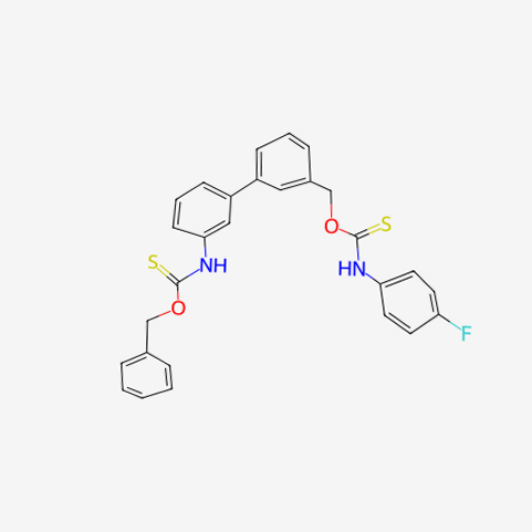 Fc1ccc(NC(=S)OCc2cccc(-c3cccc(NC(=S)OCc4ccccc4)c3)c2)cc1